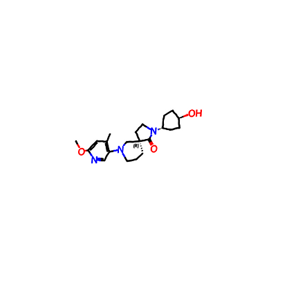 COc1cc(C)c(N2CCC[C@@]3(CCN([C@H]4CC[C@H](O)CC4)C3=O)C2)cn1